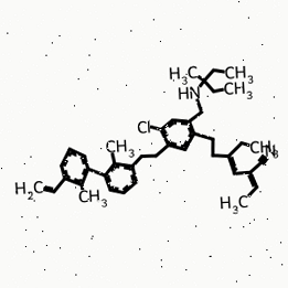 C=Cc1cccc(-c2cccc(CCc3cc(CC/C(=C/C(C#N)=C\C)CC)c(CNC(C)(CC)CC)cc3Cl)c2C)c1C